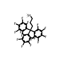 Fc1c(F)c(F)c(C(CC[CH2][Sn])(c2c(F)c(F)c(F)c(F)c2F)c2c(F)c(F)c(F)c(F)c2F)c(F)c1F